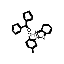 Cc1ccc(O)c(-n2nc3ccccc3n2)c1.O=C(c1ccccc1)c1ccccc1